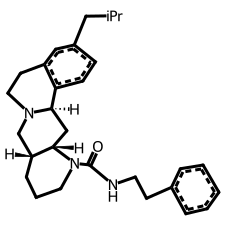 CC(C)Cc1ccc2c(c1)CCN1C[C@H]3CCCN(C(=O)NCCc4ccccc4)[C@H]3C[C@H]21